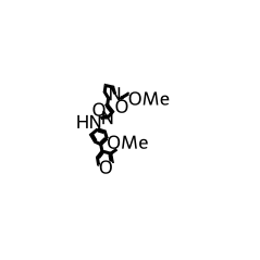 COCC(=O)N1CCCC1c1cnc(Nc2ccc(C3=CCOC=C3C)c(OC)c2)o1